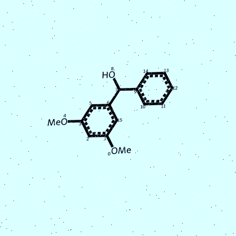 COc1cc(OC)cc(C(O)c2ccccc2)c1